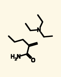 C=C(CCC)C(N)=O.CCN(CC)CC